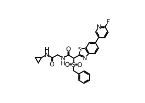 O=C(CNC(=O)C(c1nc2ccc(-c3ccc(F)nc3)cc2s1)S(=O)(=O)Cc1ccccc1)NC1CC1